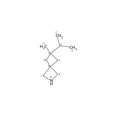 CC(C)C1(C)CC2(CNC2)C1